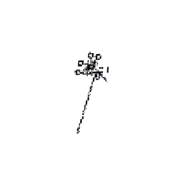 CCCC/C=C/[C@@H](O)[C@H](C[C@H]1O[C@H](COCc2ccccc2)[C@H](OCc2ccccc2)[C@H](OCc2ccccc2)[C@H]1OCc1ccccc1)NC(=O)CCCCCCCCCCCCCCCCCCCCCCCCC